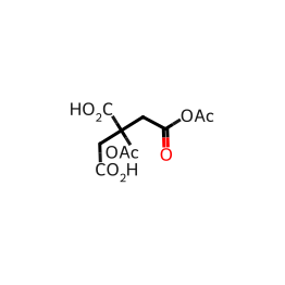 CC(=O)OC(=O)CC(CC(=O)O)(OC(C)=O)C(=O)O